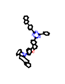 c1ccc(-c2nc(-c3ccc(-c4ccc5ccccc5c4)cc3)nc(-c3ccc4c(ccc5oc6cc(-n7c8ccccc8c8cc9ccccc9cc87)ccc6c54)c3)n2)cc1